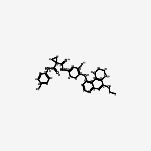 CCOc1cc2nccc(OC3=C(F)C=C(NC(=O)C4(C(=O)Nc5ccc(F)cc5)CC4)CC3)c2c2c1OCCO2